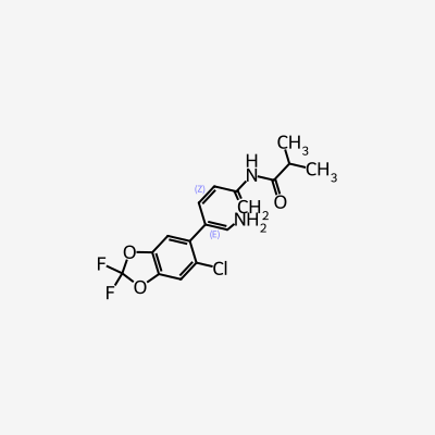 C=C(/C=C\C(=C/N)c1cc2c(cc1Cl)OC(F)(F)O2)NC(=O)C(C)C